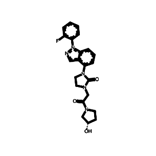 O=C(CN1CCN(c2cccc3c2cnn3-c2ccccc2F)C1=O)N1CC[C@H](O)C1